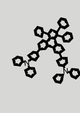 c1ccc(-c2cc(-c3ccccc3)c3c4ccc(-c5ccc(N(c6ccccc6)c6ccccc6)cc5)cc4c4cc(-c5ccc(N(c6ccccc6)c6ccccc6)cc5)ccc4c3c2-c2ccccc2)cc1